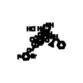 CC(C)(OC(=O)N1[C@H]2CNC[C@@H]1C(C(=O)NC(Cc1ccccc1)C1CC1)=C(c1ccc(CCCOc3cc(F)ccc3Br)cc1)C2)C(Cl)(Cl)Cl.Cl